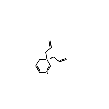 C=CC[N+]1(CC=C)[C]=NC=CC1